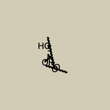 CCCCCCCCC(=O)OC(CCCCCC)CSCCCCCC(CCCCCSCC(O)CCCCCC)N(C)CCCCO